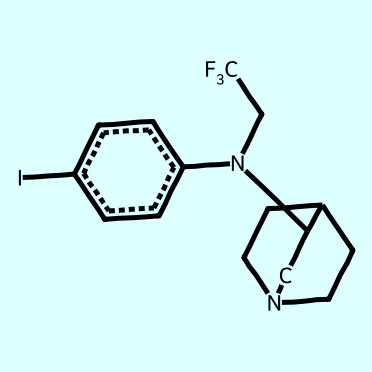 FC(F)(F)CN(c1ccc(I)cc1)C1CN2CCC1CC2